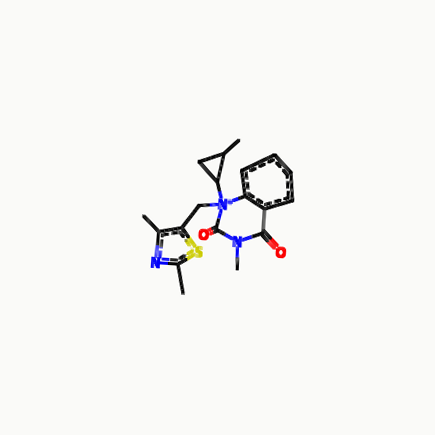 Cc1nc(C)c(C[N+]2(C3CC3C)C(=O)N(C)C(=O)c3ccccc32)s1